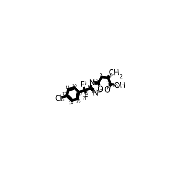 C=C(Cc1nc(C(F)(F)c2ccc(Cl)cc2)no1)C(=O)O